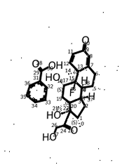 C[C@H]1C[C@H]2[C@@H]3CCC4=CC(=O)C=C[C@]4(C)[C@@]3(F)[C@@H](O)C[C@]2(C)[C@@]1(O)C(=O)CO.O=C(O)c1ccccc1